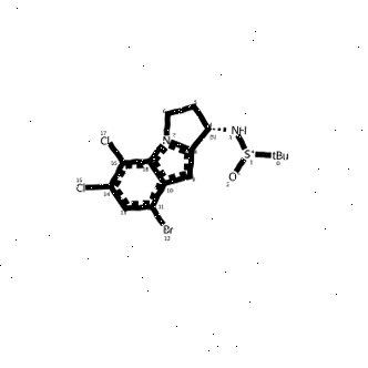 CC(C)(C)[S+]([O-])N[C@H]1CCn2c1cc1c(Br)cc(Cl)c(Cl)c12